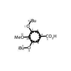 CCC(C)Oc1cc(C(=O)O)cc(OC(C)CC)c1OC